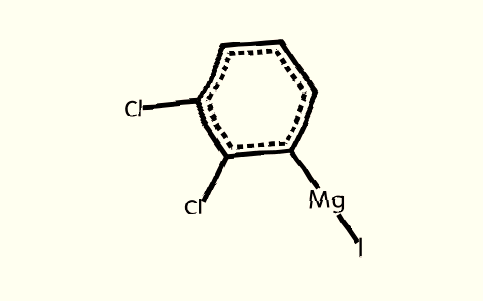 Clc1ccc[c]([Mg][I])c1Cl